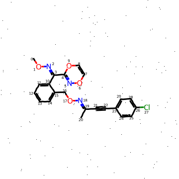 CO/N=C(/C1=NOC=CO1)c1ccccc1CO/N=C(\C)C#Cc1ccc(Cl)cc1